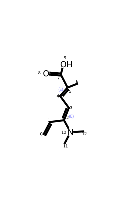 C=C/C(=C\C=C(/C)C(=O)O)N(C)C